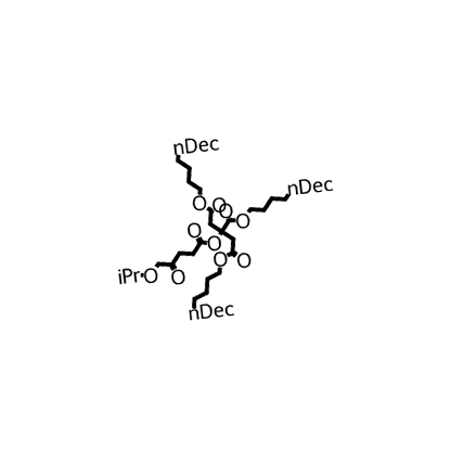 CCCCCCCCCCCCCCOC(=O)CC(CC(=O)OCCCCCCCCCCCCCC)(OC(=O)CCC(=O)COC(C)C)C(=O)OCCCCCCCCCCCCCC